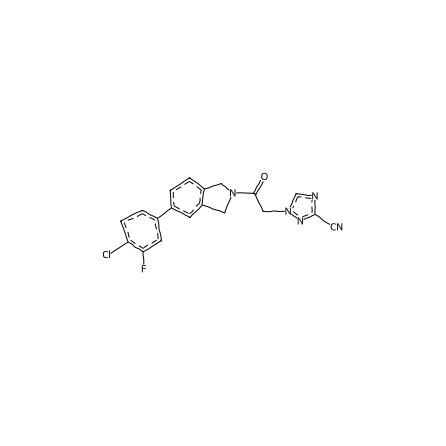 N#Cc1ncn(CC(=O)N2Cc3ccc(-c4ccc(Cl)c(F)c4)cc3C2)n1